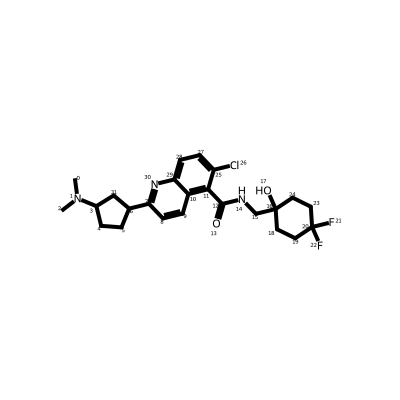 CN(C)C1CCC(c2ccc3c(C(=O)NCC4(O)CCC(F)(F)CC4)c(Cl)ccc3n2)C1